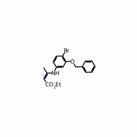 CCOC(=O)/C=C(/C)Nc1ccc(Br)c(OCc2ccccc2)c1